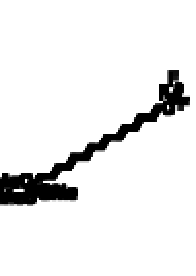 CO[Si](CCCCCCCCCCCCCCCOC(F)(F)CF)(OC)OC